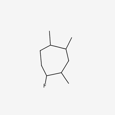 CC1CCC(F)C(C)CC1C